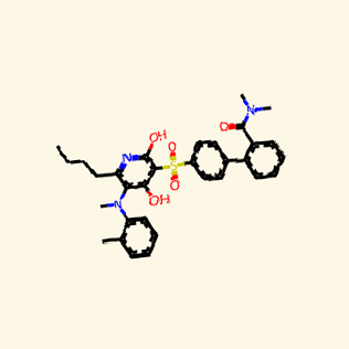 CCCCc1nc(O)c(S(=O)(=O)c2ccc(-c3ccccc3C(=O)N(C)C)cc2)c(O)c1N(C)c1ccccc1C